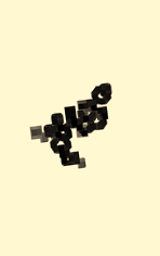 CN1CCc2c(cc(Nc3ncc4ccnc(NC5CCOCC5)c4n3)c(=O)n2C)C1